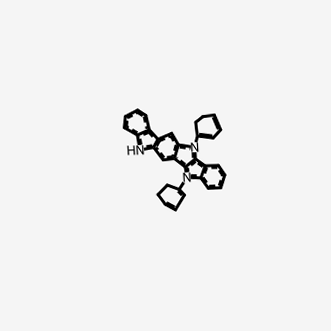 C1=CCCC(n2c3ccccc3c3c2c2cc4[nH]c5ccccc5c4cc2n3C2=CC=CCC2)=C1